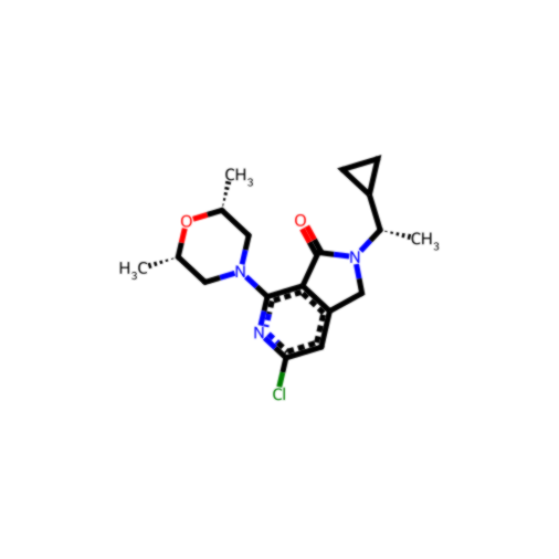 C[C@@H]1CN(c2nc(Cl)cc3c2C(=O)N([C@@H](C)C2CC2)C3)C[C@H](C)O1